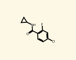 O=C(NC1CC1)c1ccc(Cl)cc1F